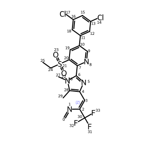 C=N/C(=C\c1nc(-c2ncc(-c3cc(Cl)cc(Cl)c3)cc2S(=O)(=O)CC)n(C)c1C)C(F)(F)F